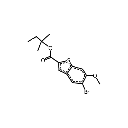 CCC(C)(C)OC(=O)c1cc2cc(Br)c(OC)cc2s1